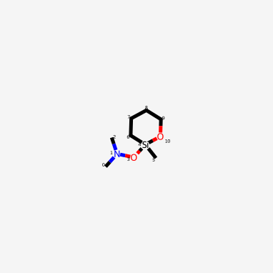 CN(C)O[Si]1(C)CCCCO1